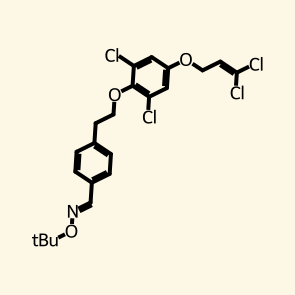 CC(C)(C)ON=Cc1ccc(CCOc2c(Cl)cc(OCC=C(Cl)Cl)cc2Cl)cc1